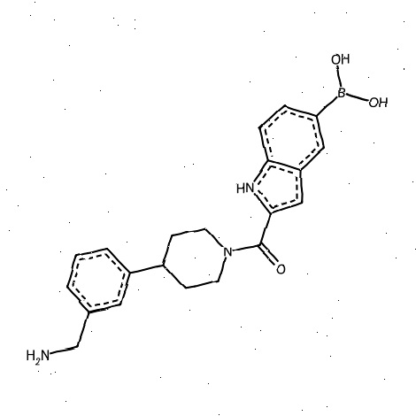 NCc1cccc(C2CCN(C(=O)c3cc4cc(B(O)O)ccc4[nH]3)CC2)c1